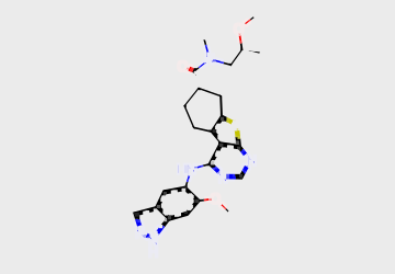 COc1cc2[nH]ncc2cc1Nc1ncnc2sc3c(c12)CC[C@H](C(=O)N(C)C[C@H](C)OC)C3